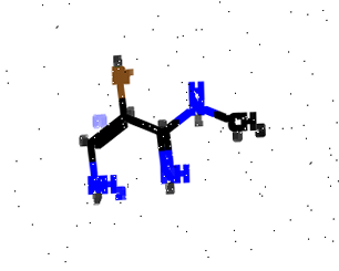 CNC(=N)/C(Br)=C\N